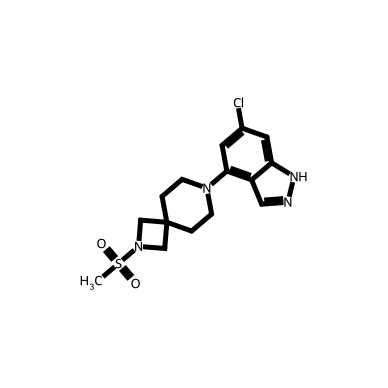 CS(=O)(=O)N1CC2(CCN(c3cc(Cl)cc4[nH]ncc34)CC2)C1